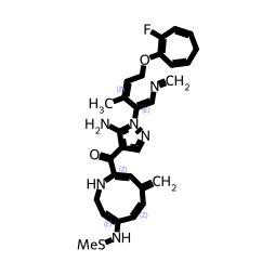 C=N/C=C(\C(C)=C/COC1=C(F)C=CCC=C1)n1ncc(C(=O)/C2=C/C(=C)/C=C\C(NSC)=C/CN2)c1N